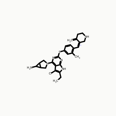 C=C1CCNC/C1=C/c1ccc(Sc2nc(N3CC4C(N)C4C3)c3c(Cl)c(CC)[nH]c3n2)cc1C